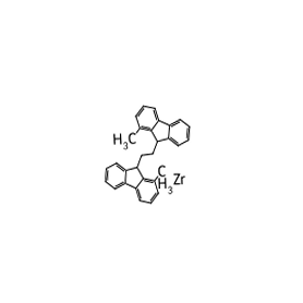 Cc1cccc2c1C(CCC1c3ccccc3-c3cccc(C)c31)c1ccccc1-2.[Zr]